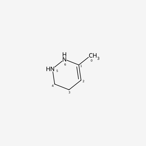 CC1=CCCNN1